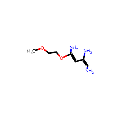 COCCO/C(N)=C/C(N)=C\N